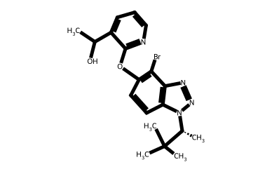 CC(O)c1cccnc1Oc1ccc2c(nnn2[C@H](C)C(C)(C)C)c1Br